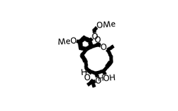 COCOc1cc(OC)cc2c1C(=O)OC(C)C/C=C\C(O)[C@H]1OC(C)(C)O[C@H]1C/C=C/2